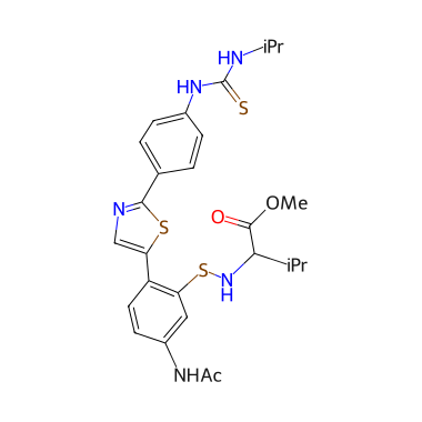 COC(=O)C(NSc1cc(NC(C)=O)ccc1-c1cnc(-c2ccc(NC(=S)NC(C)C)cc2)s1)C(C)C